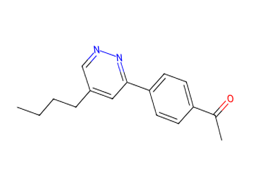 CCCCc1cnnc(-c2ccc(C(C)=O)cc2)c1